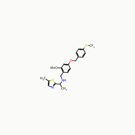 COc1cc(OCc2ccc(SC(F)(F)F)cc2)ccc1CNC(C)c1ncc(C)s1